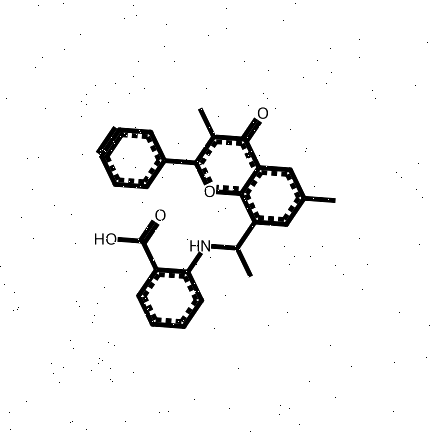 Cc1cc(C(C)Nc2ccccc2C(=O)O)c2oc(-c3cc#ccc3)c(C)c(=O)c2c1